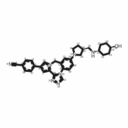 N#Cc1ccc(-c2cc3n(c2)Cc2cc(N4CC[C@@H](CN[C@H]5CC[C@H](O)CC5)C4)ccc2-n2cnnc2-3)cc1